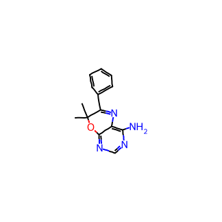 CC1(C)Oc2ncnc(N)c2N=C1c1ccccc1